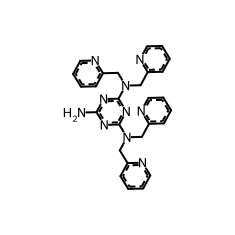 Nc1nc(N(Cc2ccccn2)Cc2ccccn2)nc(N(Cc2ccccn2)Cc2ccccn2)n1